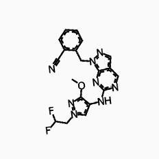 COc1nn(CC(F)F)cc1Nc1ncc2cnn(Cc3ccccc3C#N)c2n1